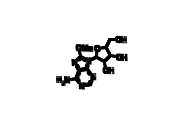 COc1nc2c(N)ncnc2n1C1OC(CO)C(O)C1O